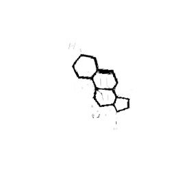 CC(=O)[C@H]1CC[C@]2(O)[C@@H]3CC=C4C[C@@H](O)CC[C@]4(C)[C@H]3C[C@@H](O)[C@]12C